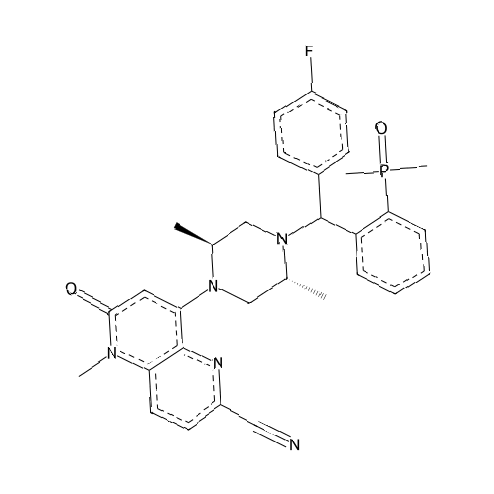 C[C@@H]1CN(c2cc(=O)n(C)c3ccc(C#N)nc23)[C@@H](C)CN1C(c1ccc(F)cc1)c1ccccc1P(C)(C)=O